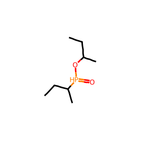 CCC(C)O[PH](=O)C(C)CC